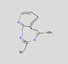 CC(C)c1nc(C(C)(C)C)c2cccnc2n1